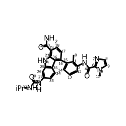 Cc1c(NC(=O)c2nccn2C)cccc1-c1ccc(C(N)=O)c2[nH]c3cc(NC(=O)NC(C)C)ccc3c12